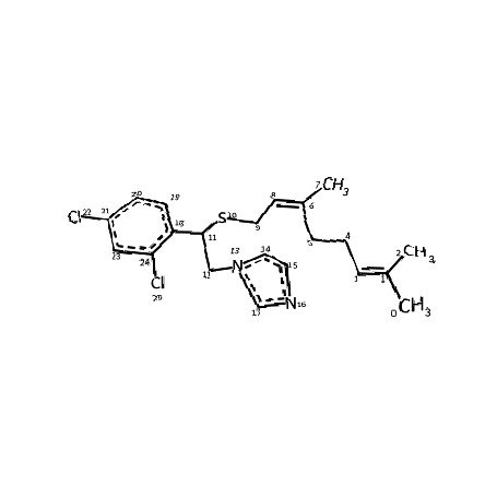 CC(C)=CCCC(C)=CCSC(Cn1ccnc1)c1ccc(Cl)cc1Cl